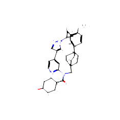 COc1ccc(C23CCC(CN(C(=O)C4CCC(O)CC4)c4cc(-c5cnn(C6CC6)c5)ccn4)(CC2)CC3)cc1C